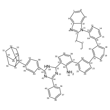 CCCc1nc2ccccc2n1-c1cccc(-c2cccc(-c3cccc(-c4cccc(C5N=C(c6ccccc6)N=C(c6ccc(C7C8CC9CC(C8)CC7C9)cc6)N5)c4N)c3)c2)c1